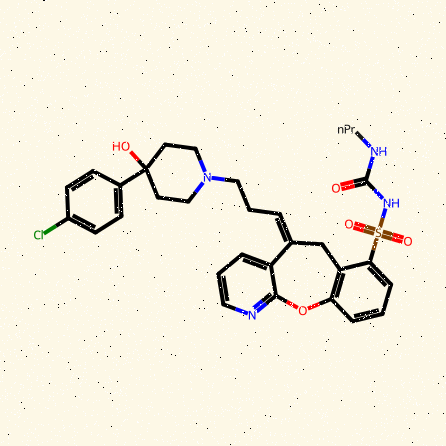 CCCNC(=O)NS(=O)(=O)c1cccc2c1C/C(=C/CCN1CCC(O)(c3ccc(Cl)cc3)CC1)c1cccnc1O2